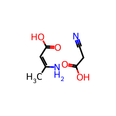 C/C(N)=C/C(=O)O.N#CCC(=O)O